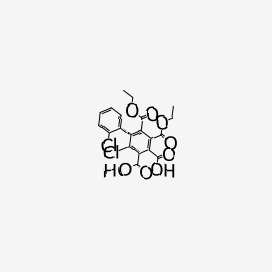 CCOC(=O)c1c(C(=O)O)c(C(=O)O)c(Cl)c(-c2ccccc2Cl)c1C(=O)OCC